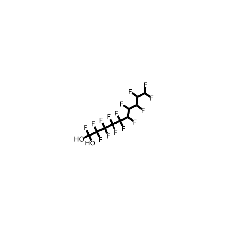 OC(O)(F)C(F)(F)C(F)(F)C(F)(F)C(F)(F)C(F)C(F)C(F)C(F)C(F)F